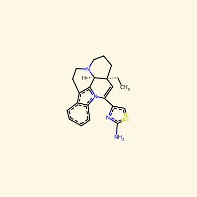 CC[C@@]12C=C(c3csc(N)n3)n3c4c(c5ccccc53)CCN(CCC1)[C@H]42